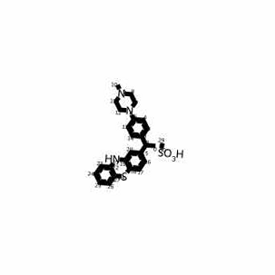 CC(c1ccc(N2CCN(C)CC2)cc1)c1ccc2c(c1)Nc1ccccc1S2.CS(=O)(=O)O